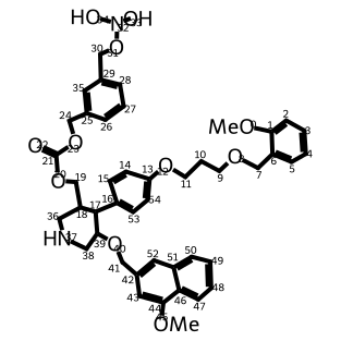 COc1ccccc1COCCCOc1ccc(C2C(COC(=O)OCc3cccc(CON(O)O)c3)CNCC2OCc2cc(OC)c3ccccc3c2)cc1